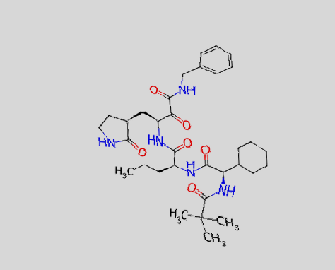 CCC[C@H](NC(=O)[C@H](NC(=O)C(C)(C)C)C1CCCCC1)C(=O)N[C@@H](C[C@@H]1CCNC1=O)C(=O)C(=O)NCc1ccccc1